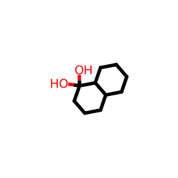 OC1(O)CCCC2CCCCC21